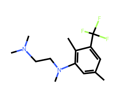 Cc1cc(N(C)CCN(C)C)c(C)c(C(F)(F)F)c1